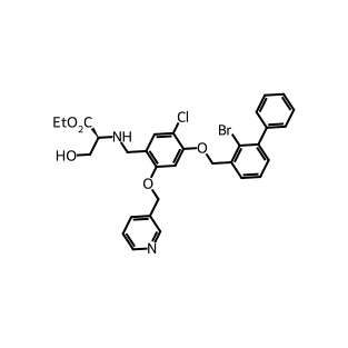 CCOC(=O)[C@H](CO)NCc1cc(Cl)c(OCc2cccc(-c3ccccc3)c2Br)cc1OCc1cccnc1